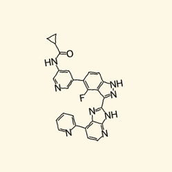 O=C(Nc1cncc(-c2ccc3[nH]nc(-c4nc5c(-c6ccccn6)ccnc5[nH]4)c3c2F)c1)C1CC1